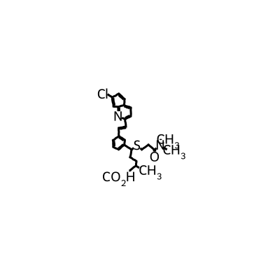 CC(CCC(SCCC(=O)N(C)C)c1cccc(C=Cc2ccc3ccc(Cl)cc3n2)c1)CC(=O)O